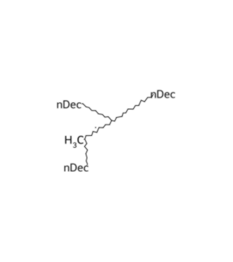 CCCCCCCCCCCCCCCCCCCCCCCC(CCC[CH]CCCCC(C)CCCCCCCCCCCCCCCCC)CCCCCCCCCCCCCCCCCCC